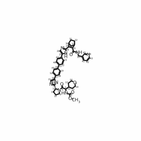 COC(=O)NC(C(=O)N1CCC[C@H]1c1ncc(-c2ccc(-c3ccc(-c4cnc(C5C6CCC(C6)C5C(=O)NCc5cccnc5)[nH]4)cc3)cc2)[nH]1)C1CCOCC1